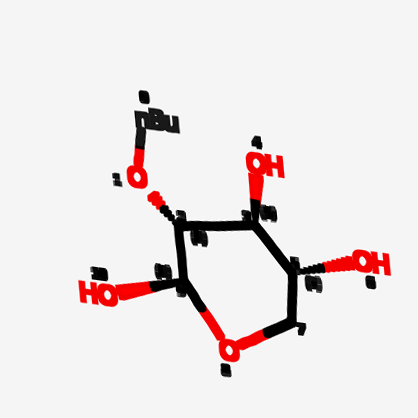 CCCCO[C@@H]1[C@@H](O)[C@H](O)CO[C@H]1O